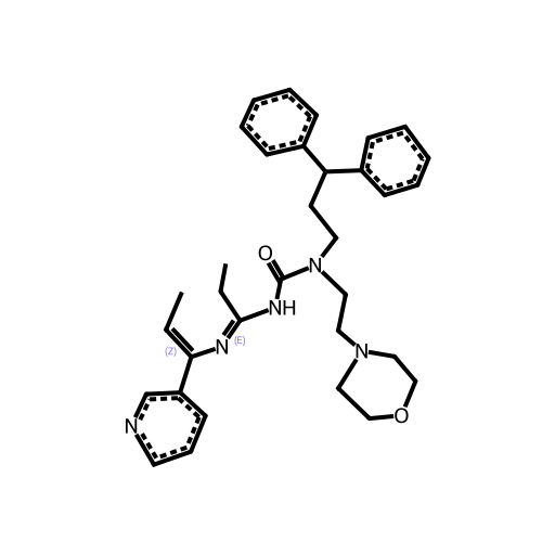 C/C=C(\N=C(/CC)NC(=O)N(CCC(c1ccccc1)c1ccccc1)CCN1CCOCC1)c1cccnc1